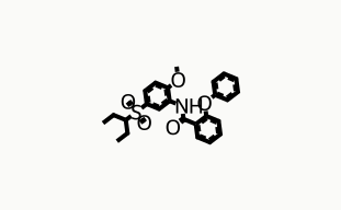 CCC(CC)S(=O)(=O)c1ccc(OC)c(NC(=O)c2ccccc2Oc2ccccc2)c1